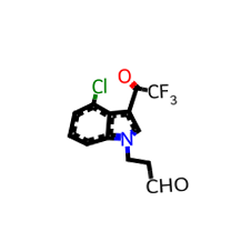 O=CCCn1cc(C(=O)C(F)(F)F)c2c(Cl)cccc21